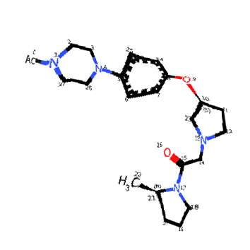 CC(=O)N1CCN(c2ccc(O[C@H]3CCN(CC(=O)N4CCC[C@H]4C)C3)cc2)CC1